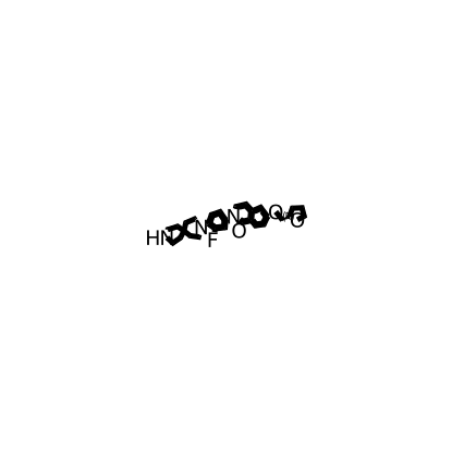 O=c1c2ccc(OC[C@H]3CCCO3)cc2ccn1-c1ccc(N2CCC3(CCNCC3)CC2)c(F)c1